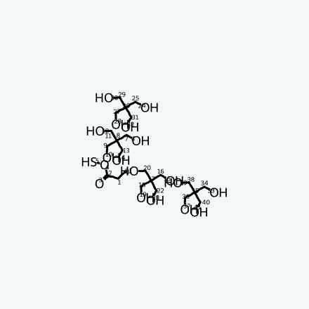 CCC(=O)OS.OCC(CO)(CO)CO.OCC(CO)(CO)CO.OCC(CO)(CO)CO.OCC(CO)(CO)CO